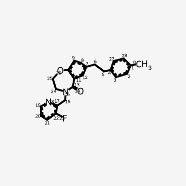 Cc1ccc(CCc2ccc3c(c2)C(=O)N(Cc2ncccc2F)CCO3)cc1